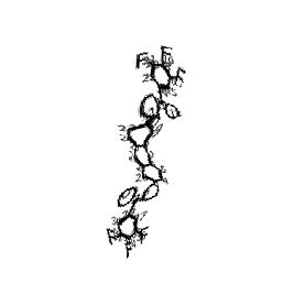 O=C(Oc1ccc2cc3cc(OC(=O)c4cc(F)c(F)c(F)c4)ccc3cc2c1)c1cc(F)c(F)c(F)c1